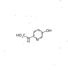 O=C(O)Nc1ccc(O)cn1